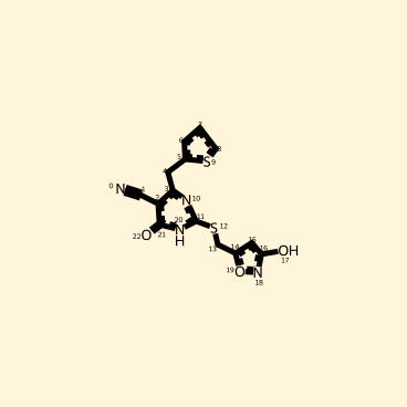 N#Cc1c(Cc2cccs2)nc(SCc2cc(O)no2)[nH]c1=O